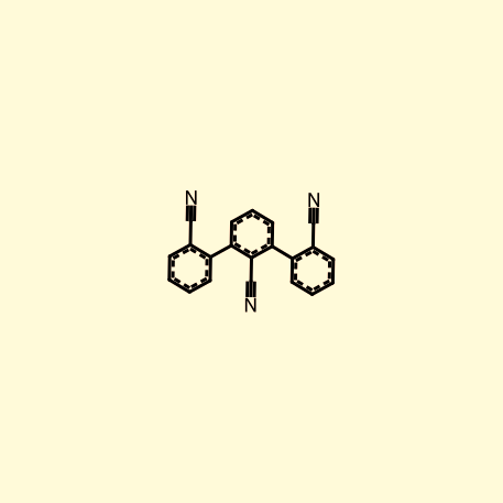 N#Cc1ccccc1-c1cccc(-c2ccccc2C#N)c1C#N